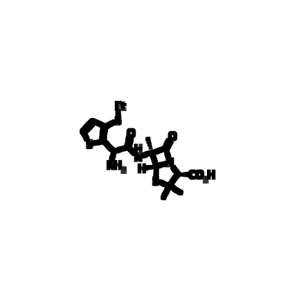 CCSc1ccsc1C(N)C(=O)N[C@@]1(C)C(=O)N2[C@@H](C(=O)O)C(C)(C)S[C@@H]21